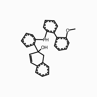 COc1ccccc1-c1ccccc1Pc1ccccc1C1(O)C=Cc2ccccc2C1